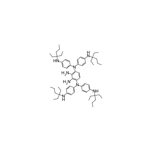 CCCC(CC)(CC)Nc1ccc(N(c2ccc(NC(CC)(CC)CCC)cc2)c2ccc(N(c3ccc(NC(CC)(CC)CCC)cc3)c3ccc(NC(CC)(CC)CCC)cc3)c(N)c2N)cc1